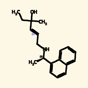 CCC(C)(O)/C=C/CN[C@H](C)c1cccc2ccccc12